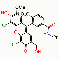 COc1cc2c(-c3cc(C(=O)NC(C)C)ccc3C(=O)O)c3cc(CO)c(=O)c(Cl)c-3oc2c(Cl)c1O